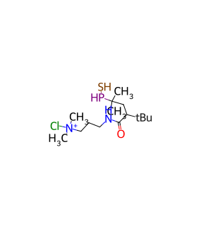 CC(C)(CC(C(=O)NCCC[N+](C)(C)Cl)C(C)(C)C)PS